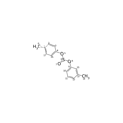 Cc1ccc(OS(=O)Oc2cccc(C)c2)cc1